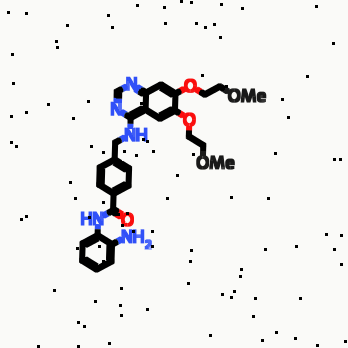 COCCOc1cc2ncnc(NCc3ccc(C(=O)Nc4ccccc4N)cc3)c2cc1OCCOC